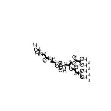 CCNCC(=O)NCCOP(=O)(O)OCC(COC(=O)C(C)C)OC(=O)CN(C)C